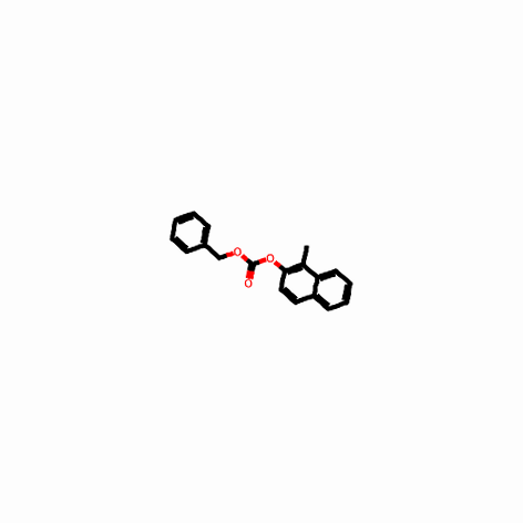 Cc1c(OC(=O)OCc2ccccc2)ccc2ccccc12